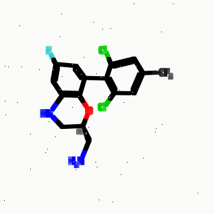 NC[C@H]1CNc2cc(F)cc(-c3c(Cl)cc(C(F)(F)F)cc3Cl)c2O1